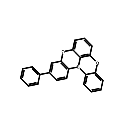 c1ccc(-c2ccc3c(c2)Oc2cccc4c2B3c2ccccc2O4)cc1